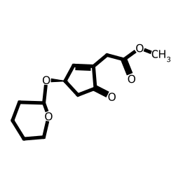 COC(=O)CC1=C[C@H](OC2CCCCO2)CC1=O